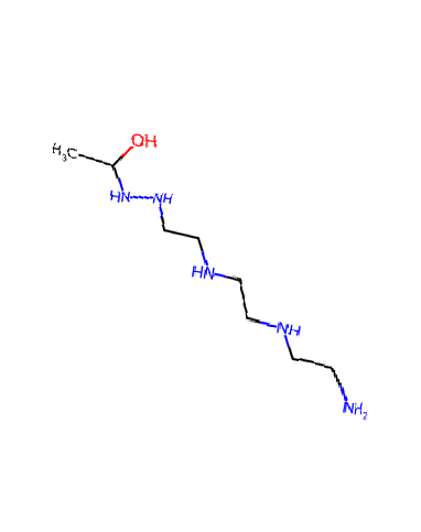 CC(O)NNCCNCCNCCN